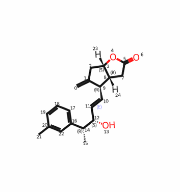 C=C1C[C@@H]2OC(=O)C[C@@H]2[C@H]1/C=C/[C@H](O)[C@H](C)c1cccc(C)c1